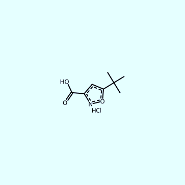 CC(C)(C)c1cc(C(=O)O)no1.Cl